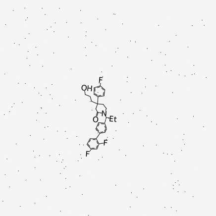 CC[C@@H](c1ccc(-c2ccc(F)cc2F)cc1)N1CCC(CCCO)(c2ccc(F)cc2)CC1=O